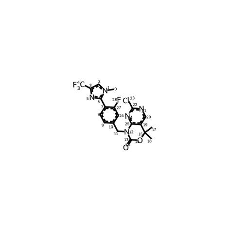 Cn1cc(C(F)(F)F)nc1-c1ccc(CN2C(=O)OC(C)(C)c3cnc(Cl)nc32)cc1F